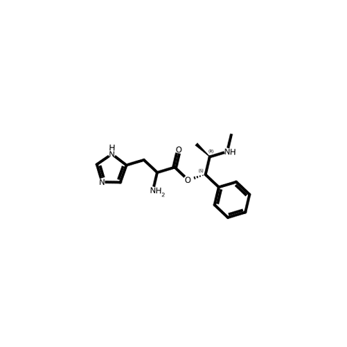 CN[C@H](C)[C@@H](OC(=O)C(N)Cc1cnc[nH]1)c1ccccc1